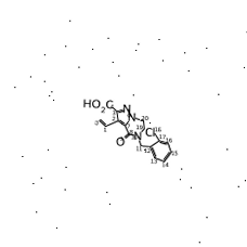 C=Cc1c(C(=O)O)nn2c1C(=O)N(Cc1ccccc1Cl)CC2